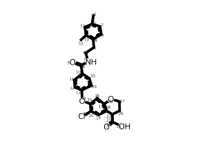 Cc1ccc(CCNC(=O)c2ccc(Oc3cc4c(cc3Cl)C(C(=O)O)CCO4)cc2)c(C)c1